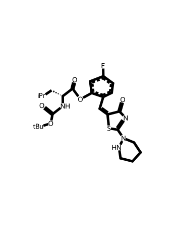 CC(C)C[C@@H](NC(=O)OC(C)(C)C)C(=O)Oc1cc(F)ccc1/C=C1/SC(N2CCCCN2)=NC1=O